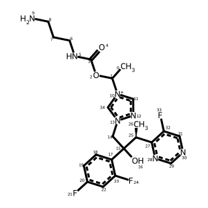 CC(OC(=O)NCCCN)[n+]1cnn(CC(O)(c2ccc(F)cc2F)[C@@H](C)c2ncncc2F)c1